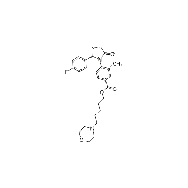 Cc1cc(C(=O)OCCCCCN2CCOCC2)ccc1N1C(=O)CSC1c1ccc(F)cc1